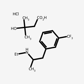 CC(C)(O)CC(=O)O.CCNC(C)Cc1cccc(C(F)(F)F)c1.Cl